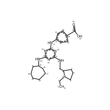 CCN1CCCC1CNc1nc(Nc2ccc(C(=O)O)cc2)nc(NC2CCCCCC2)n1